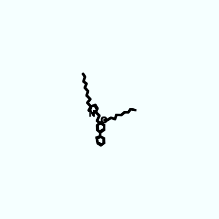 CCCCCCCCCOC1(CCc2ccc(CCCCCCCCC)cn2)C=CC(c2ccccc2)=CC1